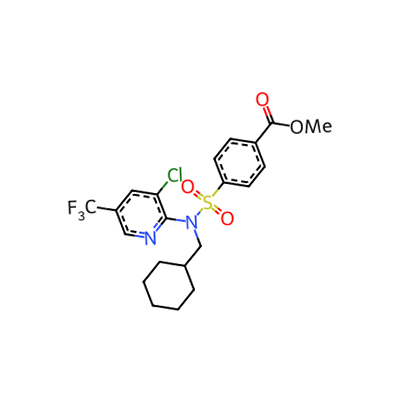 COC(=O)c1ccc(S(=O)(=O)N(CC2CCCCC2)c2ncc(C(F)(F)F)cc2Cl)cc1